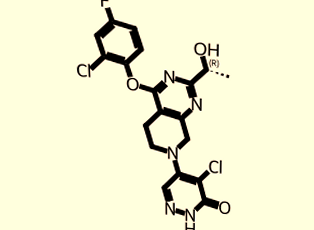 C[C@@H](O)c1nc2c(c(Oc3ccc(F)cc3Cl)n1)CCN(c1cn[nH]c(=O)c1Cl)C2